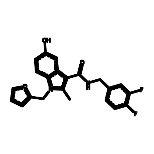 Cc1c(C(=O)NCc2ccc(F)c(F)c2)c2cc(O)ccc2n1Cc1ccco1